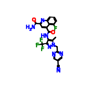 Cc1c(NC(=O)c2cc(C(N)=O)nc3cccc(F)c23)c(C(F)(F)F)nn1Cc1ncc(C#N)cn1